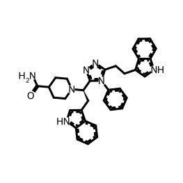 NC(=O)C1CCN([C@H](Cc2c[nH]c3ccccc23)c2nnc(CCc3c[nH]c4ccccc34)n2-c2ccccc2)CC1